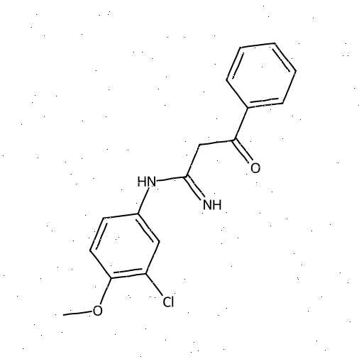 COc1ccc(NC(=N)CC(=O)c2ccccc2)cc1Cl